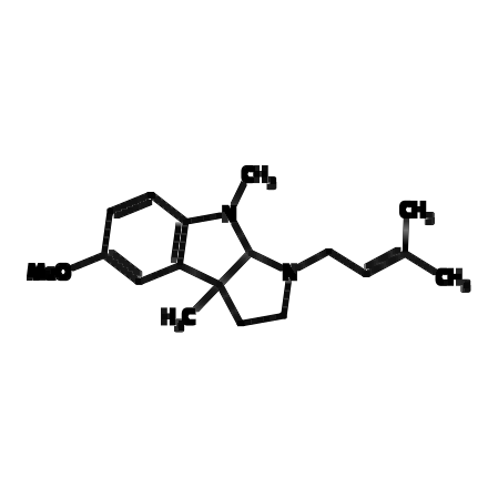 COc1ccc2c(c1)C1(C)CCN(CC=C(C)C)C1N2C